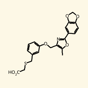 Cc1oc(-c2ccc3c(c2)OCO3)nc1COc1cccc(CSCC(=O)O)c1